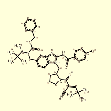 C[C@H](N(Cc1ccc2c(c1)nc(NC(=O)c1ccc(Cl)cc1)n2CC1CCCN1C(=O)C(C#N)=CC(C)(C)N)C(=O)OCc1ccccc1)C(C)(C)C